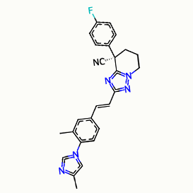 Cc1cn(-c2ccc(/C=C/c3nc4n(n3)CCC[C@]4(C#N)c3ccc(F)cc3)cc2C)cn1